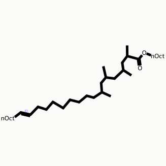 CCCCCCCC/C=C/CCCCCCCCC(C)CC(C)CC(C)CC(C)C(=O)OCCCCCCCC